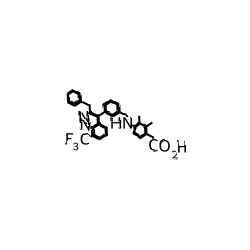 Cc1c(CC(=O)O)ccc(NCc2cccc(-c3c(Cc4ccccc4)nnc4c(C(F)(F)F)cccc34)c2)c1C